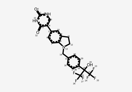 O=c1[nH]cc(-c2ccc3c(c2)CCN3Cc2ccc(C(O)(C(F)(F)F)C(F)(F)F)cc2)c(=O)[nH]1